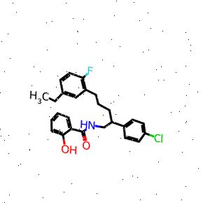 CCc1ccc(F)c(CCCC(CNC(=O)c2ccccc2O)c2ccc(Cl)cc2)c1